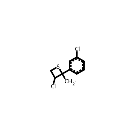 [CH2]C1(c2cccc(Cl)c2)SCC1Cl